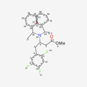 COC(=O)CC(Cc1cc(F)c(F)cc1F)N(C(C)c1ccccc1)C(C)c1ccccc1